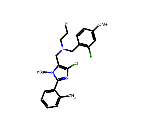 CCCCn1c(-c2ccccc2C)nc(Cl)c1CN(CCC(C)C)Cc1ccc(OC)cc1F